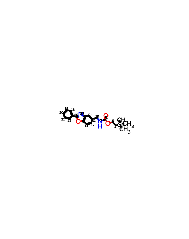 C[Si](C)(C)CCOC(=O)NCc1ccc2oc(-c3ccccc3)nc2c1